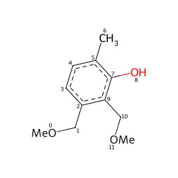 COCc1ccc(C)c(O)c1COC